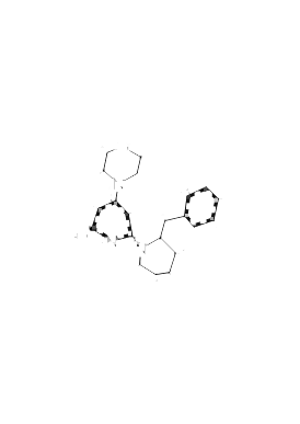 O=c1cc(N2CCOCC2)cc(N2CCCCC2Cc2ccccc2)[nH]1